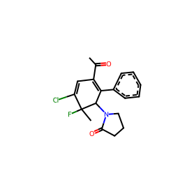 CC(=O)C1=C(c2ccccc2)C(N2CCCC2=O)C(C)(F)C(Cl)=C1